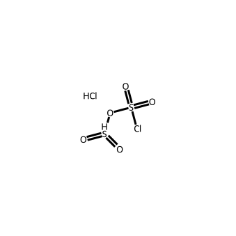 Cl.O=[SH](=O)OS(=O)(=O)Cl